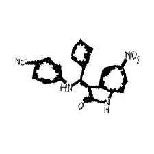 N#Cc1ccc(N/C(=C2\C(=O)Nc3ccc([N+](=O)[O-])cc32)c2ccccc2)cc1